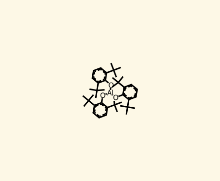 CC(C)(C)c1cccc(C(C)(C)C)c1[O][Al]([O]c1c(C(C)(C)C)cccc1C(C)(C)C)[O]c1c(C(C)(C)C)cccc1C(C)(C)C